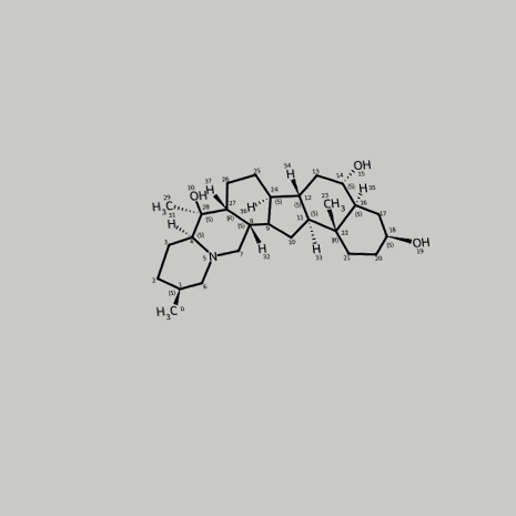 C[C@H]1CC[C@@H]2N(C1)C[C@H]1C3C[C@H]4[C@@H](C[C@H](O)[C@H]5C[C@@H](O)CC[C@@]54C)[C@@H]3CC[C@H]1[C@]2(C)O